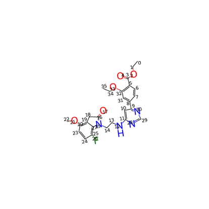 CCOC(=O)c1ccc(-c2cc(NCCN3C(=O)Cc4c(OC)ccc(F)c43)ncn2)cc1OCC